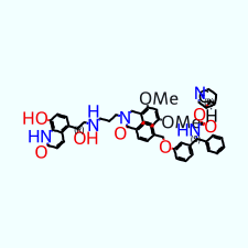 COc1ccc(CN(CCCNC[C@H](O)c2ccc(O)c3[nH]c(=O)ccc23)C(=O)c2ccc(COc3cccc([C@@H](NC(=O)O[C@H]4CN5CCC4CC5)c4ccccc4)c3)cc2)c(OC)c1